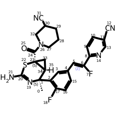 C[C@]1(c2cc(/C=C(\F)c3ccc(C#N)cn3)ccc2F)N=C(N)S[C@@]2(C(=O)N3CCCC(C#N)C3)C[C@H]21